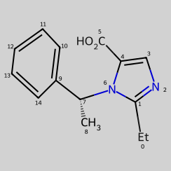 CCc1ncc(C(=O)O)n1[C@H](C)c1ccccc1